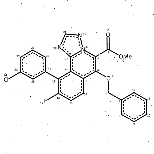 COC(=O)c1c(OCc2ccccc2)c2ccc(F)c(-c3cccc(Cl)c3)c2c2ncnn12